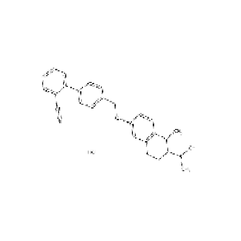 CC1c2ccc(OCc3ccc(-c4ccccc4C#N)cc3)cc2CCC1N(C)C.Cl